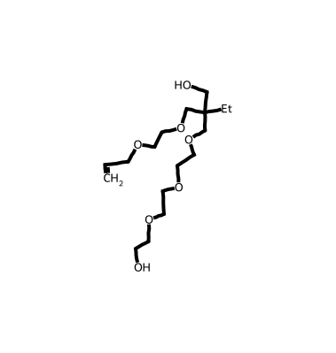 C=CCOCCOCC(CC)(CO)COCCOCCOCCO